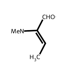 CC=C([C]=O)NC